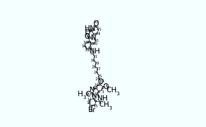 COc1cc2c(N[C@H](C)c3cccc(Br)c3)nc(C)nc2cc1OCCCCCCCCCNc1cccc2c1CCN(C1CCC(=O)NC1=O)C2=O